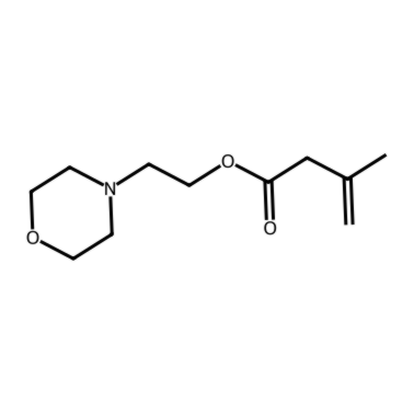 C=C(C)CC(=O)OCCN1CCOCC1